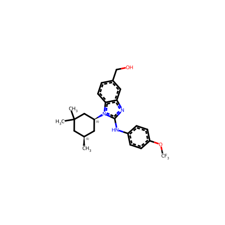 C[C@@H]1C[C@H](n2c(Nc3ccc(OC(F)(F)F)cc3)nc3cc(CO)ccc32)CC(C)(C)C1